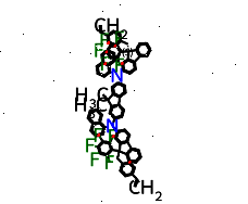 C=Cc1ccc(CC2(c3c(F)c(F)c(F)c(F)c3F)c3ccccc3-c3ccc(N(c4ccc5c(c4)C(C)(C)c4cc(N(c6ccc7c(c6)[C@@](Cc6ccc(C=C)cc6)(c6c(F)c(F)c(F)c(F)c6F)c6ccccc6-7)c6cccc7ccccc67)ccc4-5)c4cccc5ccccc45)cc32)cc1